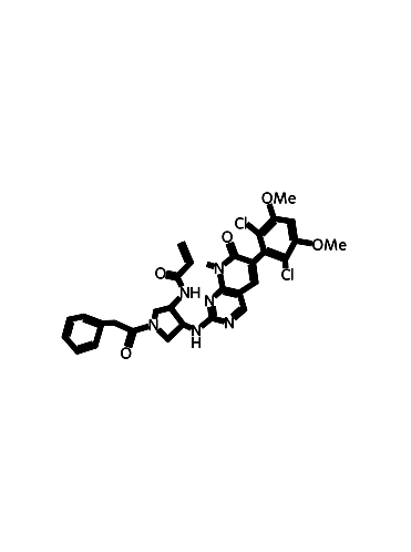 C=CC(=O)NC1CN(C(=O)Cc2ccccc2)CC1Nc1ncc2cc(-c3c(Cl)c(OC)cc(OC)c3Cl)c(=O)n(C)c2n1